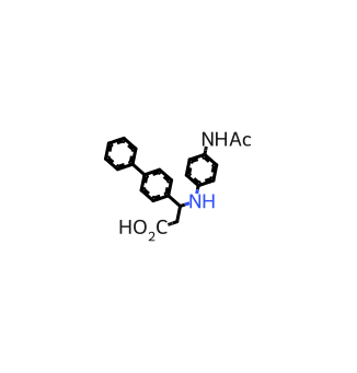 CC(=O)Nc1ccc(NC(CC(=O)O)c2ccc(-c3ccccc3)cc2)cc1